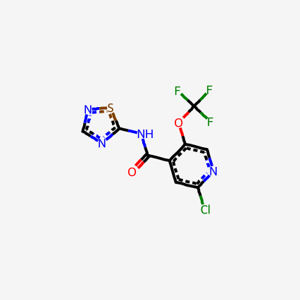 O=C(Nc1ncns1)c1cc(Cl)ncc1OC(F)(F)F